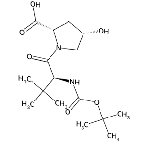 CC(C)(C)OC(=O)N[C@H](C(=O)N1C[C@@H](O)C[C@H]1C(=O)O)C(C)(C)C